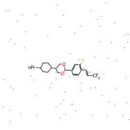 CCCC1CCC(C2COC(c3ccc(/C=C/C(F)(F)F)c(F)c3)OC2)CC1